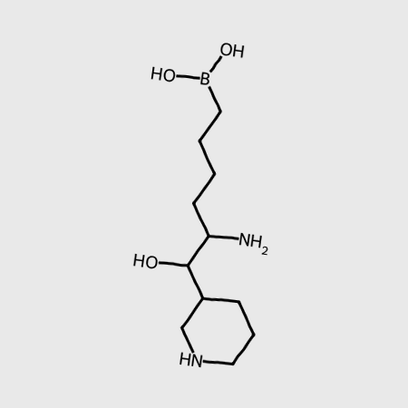 NC(CCCCB(O)O)C(O)C1CCCNC1